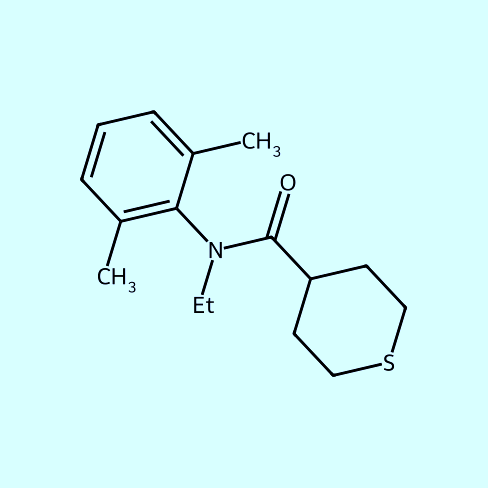 CCN(C(=O)C1CCSCC1)c1c(C)cccc1C